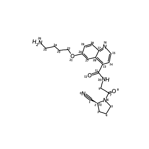 N#C[C@@H]1CCCN1C(=O)CNC(=O)c1ccnc2ccc(OCCCCN)cc12